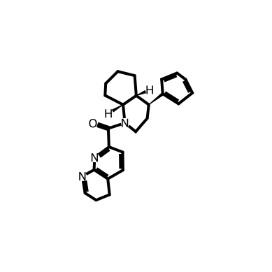 O=C(c1ccc2c(n1)N=CCC2)N1CC[C@H](c2ccccc2)[C@H]2CCCC[C@H]21